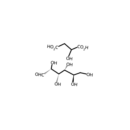 O=C(O)CC(O)C(=O)O.O=C[C@H](O)[C@@H](O)[C@H](O)[C@H](O)CO